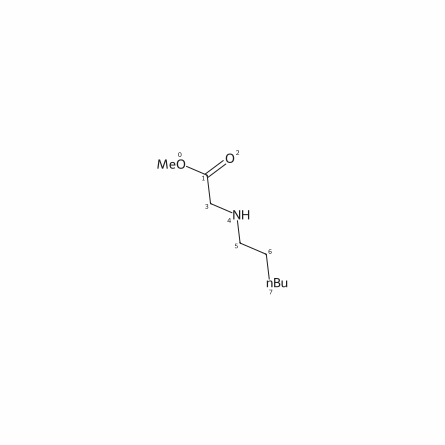 [CH2]OC(=O)CNCCCCCC